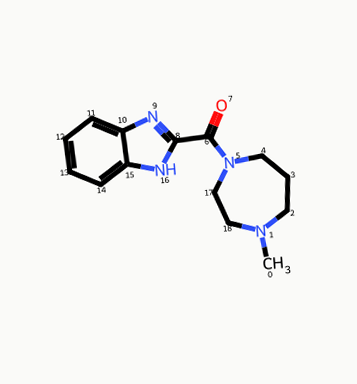 CN1CCCN(C(=O)c2nc3ccccc3[nH]2)CC1